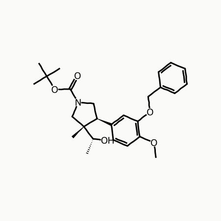 COc1ccc([C@@H]2CN(C(=O)OC(C)(C)C)C[C@@]2(C)[C@@H](C)O)cc1OCc1ccccc1